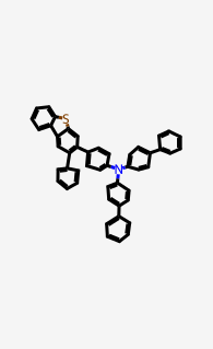 c1ccc(-c2ccc(N(c3ccc(-c4ccccc4)cc3)c3ccc(-c4cc5sc6ccccc6c5cc4-c4ccccc4)cc3)cc2)cc1